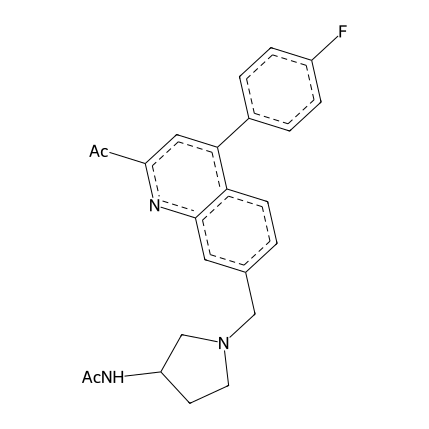 CC(=O)NC1CCN(Cc2ccc3c(-c4ccc(F)cc4)cc(C(C)=O)nc3c2)C1